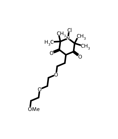 COCCOCCOCCC1C(=O)C(C)(C)N(Cl)C(C)(C)C1=O